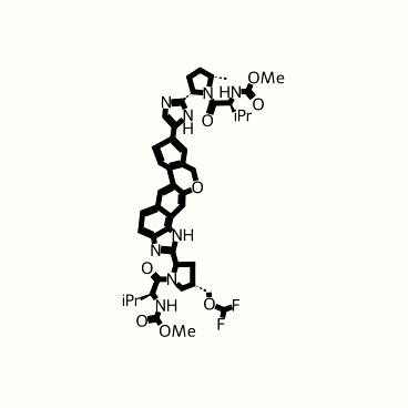 COC(=O)N[C@H](C(=O)N1C[C@@H](COC(F)F)CC1c1nc2ccc3cc4c(cc3c2[nH]1)OCc1cc(-c2cnc([C@@H]3CC[C@H](C)N3C(=O)[C@@H](NC(=O)OC)C(C)C)[nH]2)ccc1-4)C(C)C